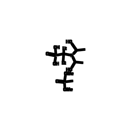 CCC(CC)(N(C(C)O)C(C)O)P(=O)(O)O.COP(C)(=O)OC